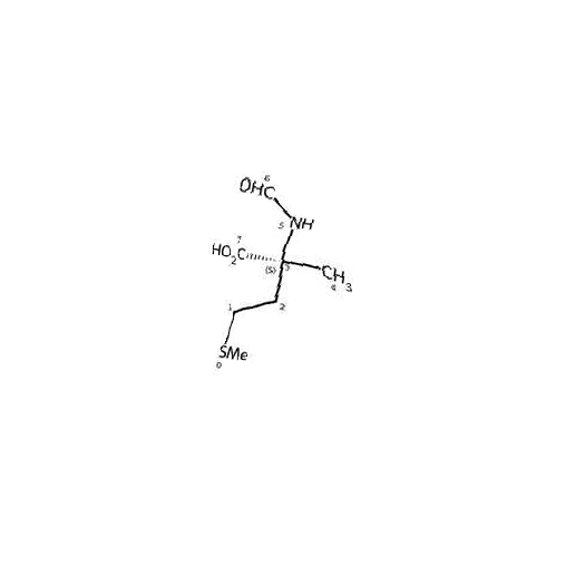 CSCC[C@](C)(NC=O)C(=O)O